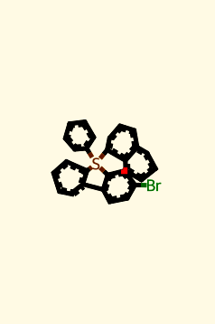 Brc1ccc2c(c1)S(c1ccccc1)(c1cccc3ccccc13)c1ccccc1-2